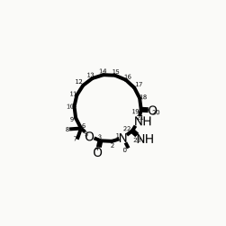 CN1CC(=O)OC(C)(C)CCCCCCCCCCC(=O)NC1=N